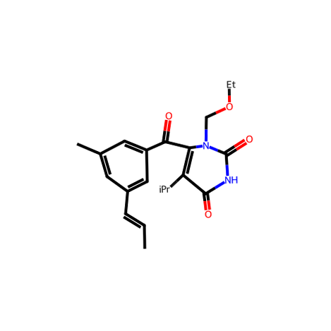 C/C=C/c1cc(C)cc(C(=O)c2c(C(C)C)c(=O)[nH]c(=O)n2COCC)c1